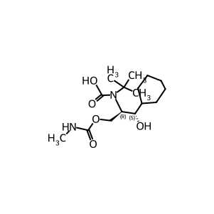 CNC(=O)OC[C@H]([C@@H](O)C1CCCCC1)N(C(=O)O)C(C)(C)C